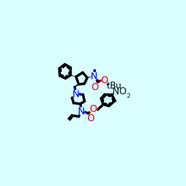 C=CCN(C(=O)OCc1ccc([N+](=O)[O-])cc1)C1CCN(C[C@@H]2C[C@@H](N(C)C(=O)OC(C)(C)C)C[C@H]2c2ccccc2)CC1